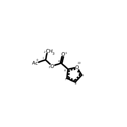 CC(=O)C(C)OC(=O)c1ccco1